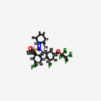 CC(C)(C)[S@@+]([O-])N[C@](Cc1ccccc1)(c1ccc(F)cc1)c1cc(F)cc(OC(F)(F)C(F)F)c1